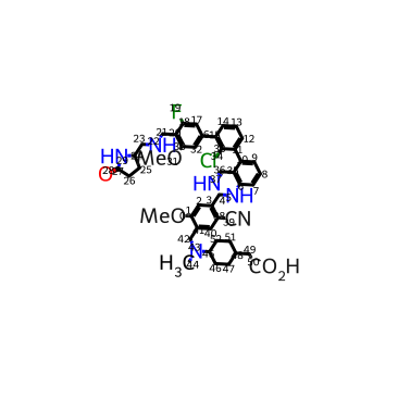 COc1cc(CNc2cccc(-c3cccc(-c4cc(F)c(CNCC5CCC(=O)N5)c(OC)c4)c3Cl)c2C=N)c(C#N)cc1CN(C)C1CCC(CC(=O)O)CC1